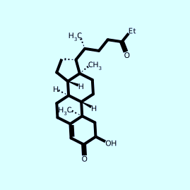 CCC(=O)CC[C@@H](C)[C@H]1CC[C@H]2[C@@H]3CCC4=CC(=O)C(O)C[C@]4(C)[C@H]3CC[C@]12C